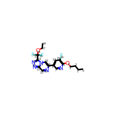 CCCCOc1ncc(-c2cn3c(C(F)(F)OCC)nnc3cn2)cc1F